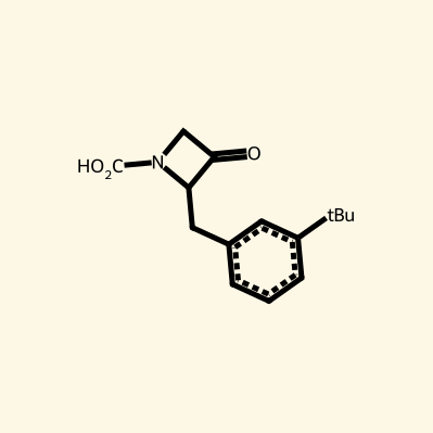 CC(C)(C)c1cccc(CC2C(=O)CN2C(=O)O)c1